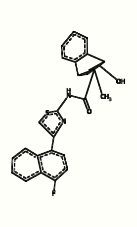 CC1(C(=O)Nc2nc(-c3ccc(F)c4ccccc34)cs2)CC2c3ccccc3C1CC2O